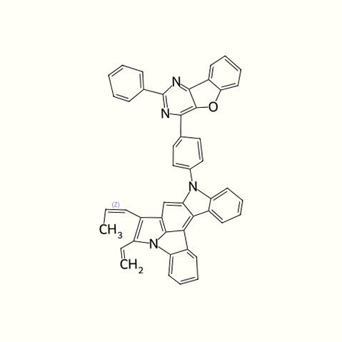 C=Cc1c(/C=C\C)c2cc3c(c4ccccc4n3-c3ccc(-c4nc(-c5ccccc5)nc5c4oc4ccccc45)cc3)c3c4ccccc4n1c23